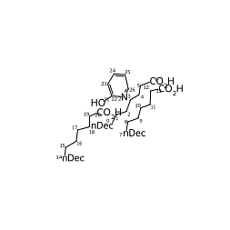 CCCCCCCCCCCCCCCC(=O)O.CCCCCCCCCCCCCCCC(=O)O.CCCCCCCCCCCCCCCC(=O)O.Oc1ccccn1